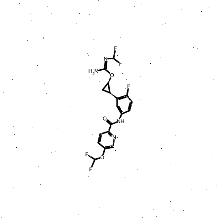 N/C(=N/C(F)F)O[C@@H]1C[C@@H]1c1cc(NC(=O)c2ccc(OC(F)F)cn2)ccc1F